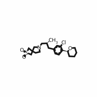 C[C@H](Cc1ccc([C@@H]2CCCCO2)c(Cl)c1)CN1CCC2(C1)CS(=O)(=O)C2